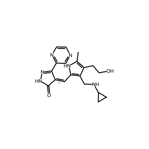 Cc1[nH]c(/C=C2/C(=O)NN=C2c2cnccn2)c(CNC2CC2)c1CCO